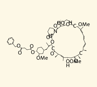 CO[C@H]1C[C@@H]2CC[C@@H](C)[C@@](O)(O2)C(=O)C(=O)N2CCCC[C@H]2C(=O)O[C@H](C(C)C[C@@H]2CC[C@@H](OC(=O)CCC(=O)OCc3ccccc3)[C@H](OC)C2)CC(=O)[C@H](C)/C=C(\C)[C@@H](O)[C@@H](OC)C(=O)[C@H](C)C[C@H](C)/C=C/C=C/C=C/1C